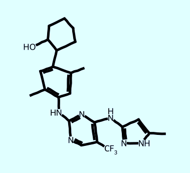 Cc1cc(Nc2nc(Nc3cc(C)c(C4CCCCC4O)cc3C)ncc2C(F)(F)F)n[nH]1